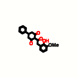 COc1cccc(CC(=O)C2C(=O)CC(c3ccccc3)CC2=O)c1O